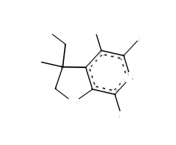 CC1(CO)COc2c(Cl)nc(I)c(Cl)c21